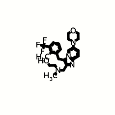 Cc1c(Cc2c(CN(C)CCO)nc3ccc(N4CCOCC4)cn23)cccc1C(F)(F)F